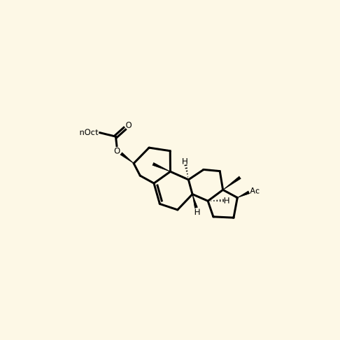 CCCCCCCCC(=O)O[C@H]1CC[C@@]2(C)C(=CC[C@H]3[C@@H]4CC[C@H](C(C)=O)[C@@]4(C)CC[C@@H]32)C1